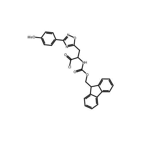 COc1ccc(-c2noc(CC(NC(=O)OCC3c4ccccc4-c4ccccc43)C(=O)Cl)n2)cc1